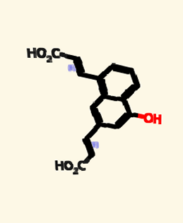 O=C(O)/C=C/c1cc(O)c2cccc(/C=C/C(=O)O)c2c1